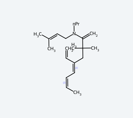 C=C/C(=C\C=C/C)CC(C)(C)C(=C)N(CC=C(C)C)CCC